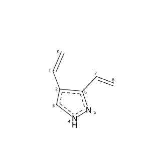 C=Cc1c[nH]nc1C=C